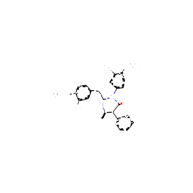 C=C(N)C(C(=O)N(CCc1ccc(OC)c(CC)c1)c1ccc(OC)c(CC)c1)c1ccccc1